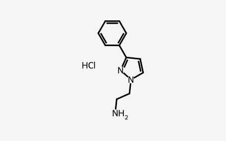 Cl.NCCn1ccc(-c2ccccc2)n1